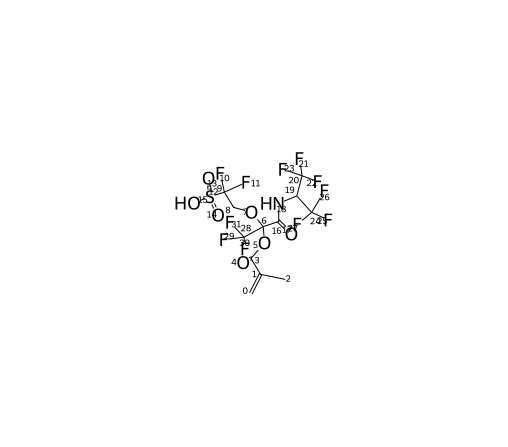 C=C(C)C(=O)OC(OCC(F)(F)S(=O)(=O)O)(C(=O)NC(C(F)(F)F)C(F)(F)F)C(F)(F)F